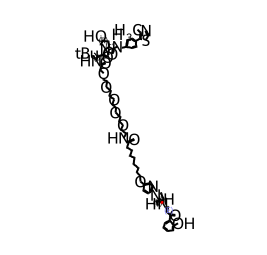 Cc1ncsc1-c1ccc(CNC(=O)[C@@H]2C[C@@H](O)CN2C(=O)[C@@H](NC(=O)COCCOCCOCCOCCOCCNC(=O)CCCCCCCCOc2ccc(N3C[C@H]4C[C@@H]3CN4/C=C/C(=O)c3ccccc3O)nc2)C(C)(C)C)cc1